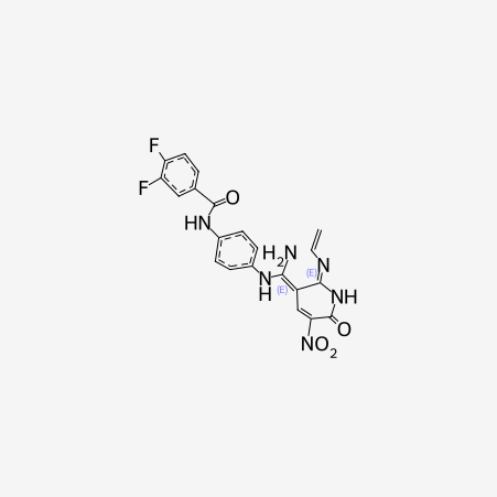 C=C/N=C1/NC(=O)C([N+](=O)[O-])=C/C1=C(/N)Nc1ccc(NC(=O)c2ccc(F)c(F)c2)cc1